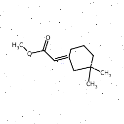 COC(=O)/C=C1\CCCC(C)(C)C1